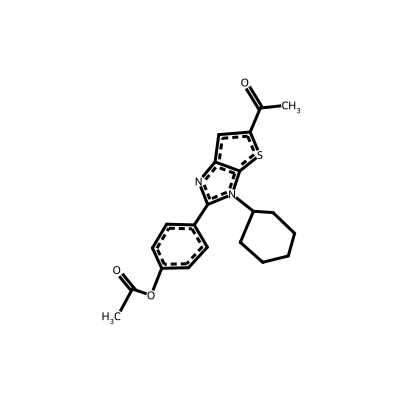 CC(=O)Oc1ccc(-c2nc3cc(C(C)=O)sc3n2C2CCCCC2)cc1